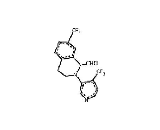 O=CC1c2cc(C(F)(F)F)ccc2CCN1c1cnccc1C(F)(F)F